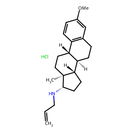 C=CCN[C@H]1CC[C@H]2[C@@H]3CCc4cc(OC)ccc4[C@H]3CC[C@]12C.Cl